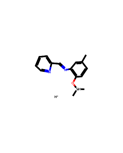 Cc1ccc(O[SiH](C)C)c(N=Cc2ccccn2)c1.[H+]